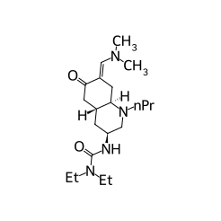 CCCN1C[C@@H](NC(=O)N(CC)CC)C[C@@H]2CC(=O)C(=CN(C)C)C[C@H]21